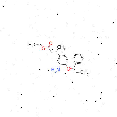 CCOC(=O)CC(C)c1ccc(OC(CC)c2ccccc2)c(N)c1